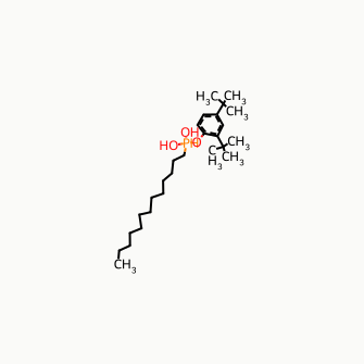 CCCCCCCCCCCCC[PH](O)(O)Oc1ccc(C(C)(C)C)cc1C(C)(C)C